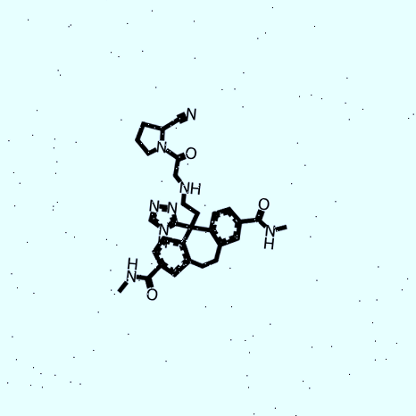 CNC(=O)c1ccc2c(c1)CCc1cc(C(=O)NC)ccc1C2(CCNCC(=O)N1CCCC1C#N)c1nnc[nH]1